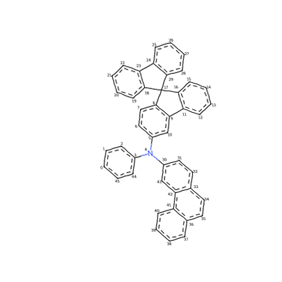 c1ccc(N(c2ccc3c(c2)-c2ccccc2C32c3ccccc3-c3ccccc32)c2ccc3ccc4ccccc4c3c2)cc1